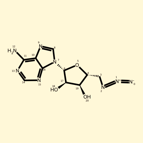 [N-]=[N+]=NC[C@H]1O[C@@H](n2cnc3c(N)ncnc32)[C@H](O)[C@@H]1O